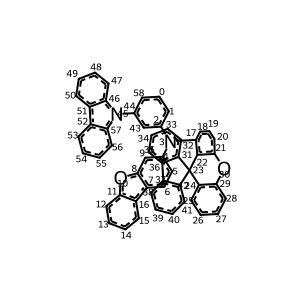 c1cc(N(c2ccc3c(c2)oc2ccccc23)c2cccc3c2C2(c4ccccc4O3)c3ccccc3-c3ccccc32)cc(-n2c3ccccc3c3ccccc32)c1